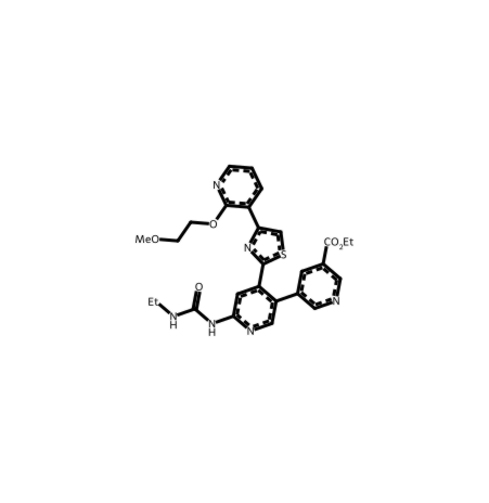 CCNC(=O)Nc1cc(-c2nc(-c3cccnc3OCCOC)cs2)c(-c2cncc(C(=O)OCC)c2)cn1